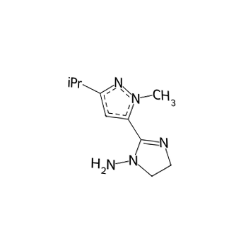 CC(C)c1cc(C2=NCCN2N)n(C)n1